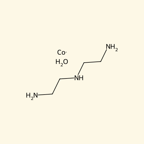 NCCNCCN.O.[Co]